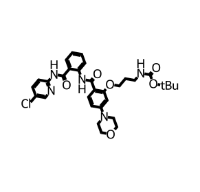 CC(C)(C)OC(=O)NCCCOc1cc(N2CCOCC2)ccc1C(=O)Nc1ccccc1C(=O)Nc1ccc(Cl)cn1